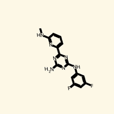 CNc1cccc(-c2nc(N)nc(Nc3cc(F)cc(F)c3)n2)n1